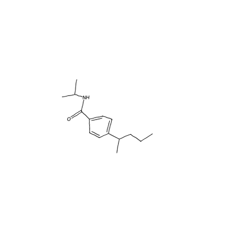 CCCC(C)c1ccc(C(=O)NC(C)C)cc1